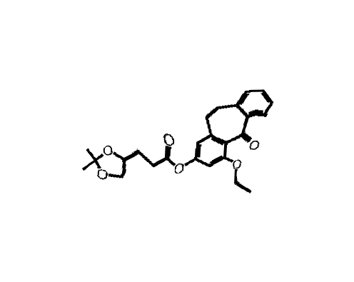 CCOc1cc(OC(=O)CCC2COC(C)(C)O2)cc2c1C(=O)c1ccccc1CC2